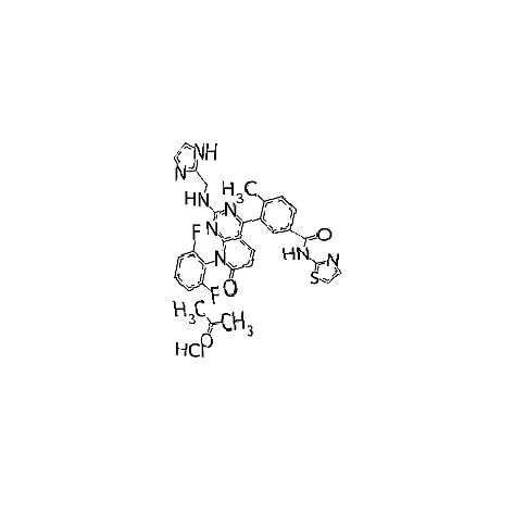 CC(C)=O.Cc1ccc(C(=O)Nc2nccs2)cc1-c1nc(NCc2ncc[nH]2)nc2c1ccc(=O)n2-c1c(F)cccc1F.Cl